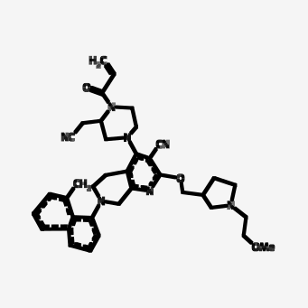 C=CC(=O)N1CCN(c2c(C#N)c(OCC3CCN(CCOC)C3)nc3c2CCN(c2cccc4cccc(C)c24)C3)CC1CC#N